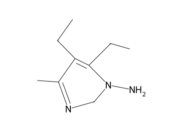 CCC1=C(CC)N(N)CN=C1C